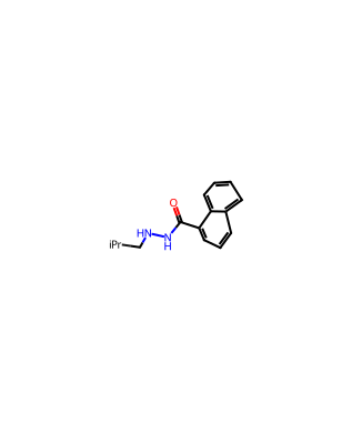 CC(C)CNNC(=O)c1cccc2ccccc12